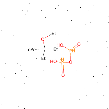 CCCC(CC)(CC)OCC.O=[PH](O)O[PH](=O)O